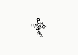 CC(C)Cn1cc(-c2csc3c(C(N)C(N)Cc4ccccc4)nc(-c4ccncc4)nc23)cn1